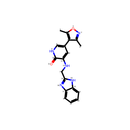 Cc1noc(C)c1-c1c[nH]c(=O)c(NCc2nc3ccccc3[nH]2)c1